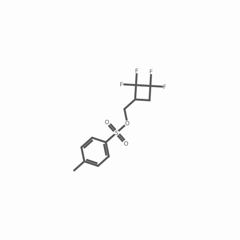 Cc1ccc(S(=O)(=O)OCC2CC(F)(F)C2(F)F)cc1